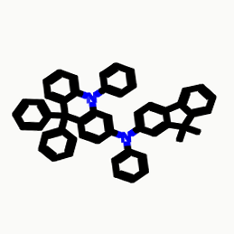 CC1(C)c2ccccc2-c2ccc(N(c3ccccc3)c3ccc4c(c3)N(c3ccccc3)c3ccccc3C4(c3ccccc3)c3ccccc3)cc21